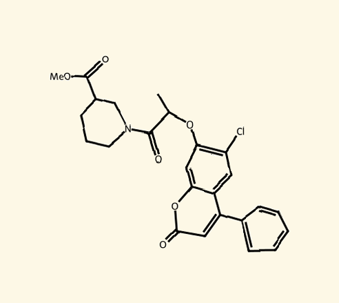 COC(=O)C1CCCN(C(=O)C(C)Oc2cc3oc(=O)cc(-c4ccccc4)c3cc2Cl)C1